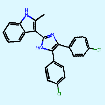 Cc1[nH]c2ccccc2c1-c1nc(-c2ccc(Cl)cc2)c(-c2ccc(Cl)cc2)[nH]1